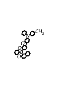 Cc1ccc(N(c2ccccc2)c2ccc3c(c2)oc2c4c(ccc23)B2c3c(cccc3O4)Oc3ccc4ccccc4c32)cc1